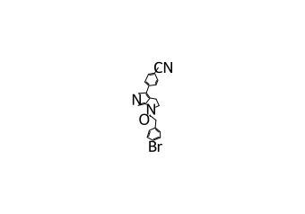 N#Cc1ccc(-c2cncc3c2CCN3C(=O)Cc2ccc(Br)cc2)cc1